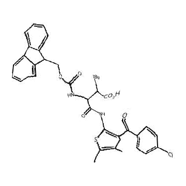 Cc1sc(NC(=O)C(NC(=O)OCC2c3ccccc3-c3ccccc32)C(C(=O)O)C(C)(C)C)c(C(=O)c2ccc(Cl)cc2)c1C